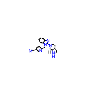 N#Cc1ccc(Cn2c(N3CCC4CCN[C@H]4C3)nc3ccccc32)nc1